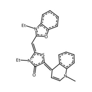 CCn1c(=O)/c(=C2\C=CN(C)c3ccccc32)s/c1=C\c1oc2ccccc2[n+]1CC